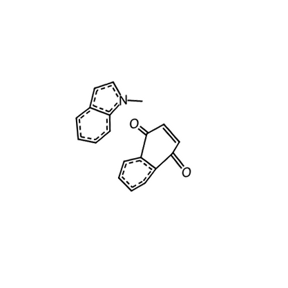 Cn1ccc2ccccc21.O=C1C=CC(=O)c2ccccc21